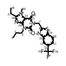 CCCn1c(=O)n(Cc2nc3cc(C(F)(F)F)ccc3s2)c(=O)c2c1nc(CC)n2C